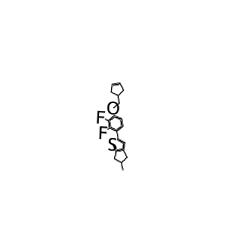 CC1Cc2cc(-c3ccc(OCC4CC=CC4)c(F)c3F)sc2C1